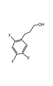 OCCCc1cc(F)c(F)cc1F